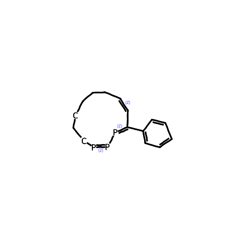 C1=C/C(c2ccccc2)=P/P=P\CCCCCC\1